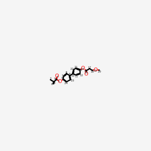 C=C(C)C(=O)Oc1ccc(-c2ccc(OC(=O)CCOC)cc2)cc1